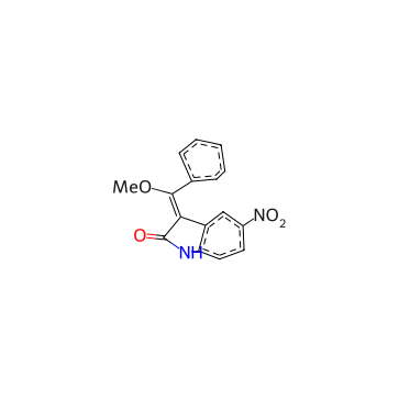 COC(=C1C(=O)Nc2ccc([N+](=O)[O-])cc21)c1ccccc1